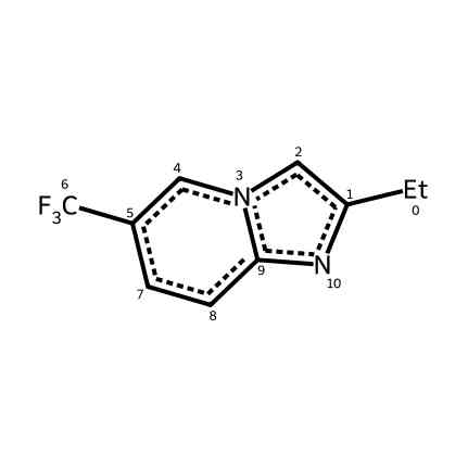 CCc1cn2cc(C(F)(F)F)ccc2n1